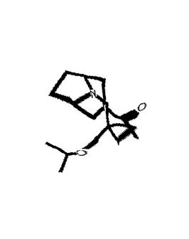 CC(=O)N1CC2CCC(C1)N2CC1(COC(C)C)CC1